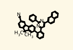 CC1(C)c2ccc(C#N)cc2-c2ccc(-c3ccccc3-c3cc(-c4ccc5ccccc5c4)nc(-c4ccccc4)n3)cc21